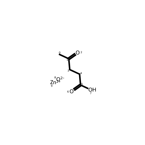 CC(=O)CCC(=O)O.[O-2].[Zn+2]